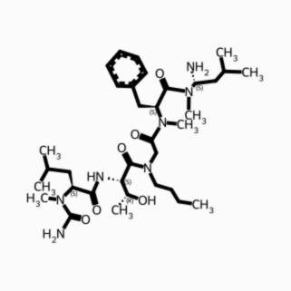 CCCCN(CC(=O)N(C)[C@@H](Cc1ccccc1)C(=O)N(C)[C@H](N)CC(C)C)C(=O)[C@@H](NC(=O)[C@H](CC(C)C)N(C)C(N)=O)[C@@H](C)O